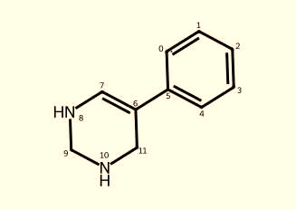 [c]1ccccc1C1=CNCNC1